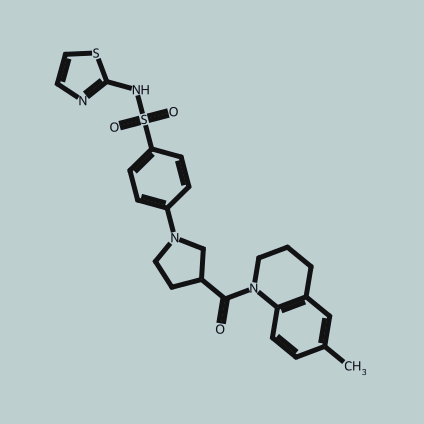 Cc1ccc2c(c1)CCCN2C(=O)C1CCN(c2ccc(S(=O)(=O)Nc3nccs3)cc2)C1